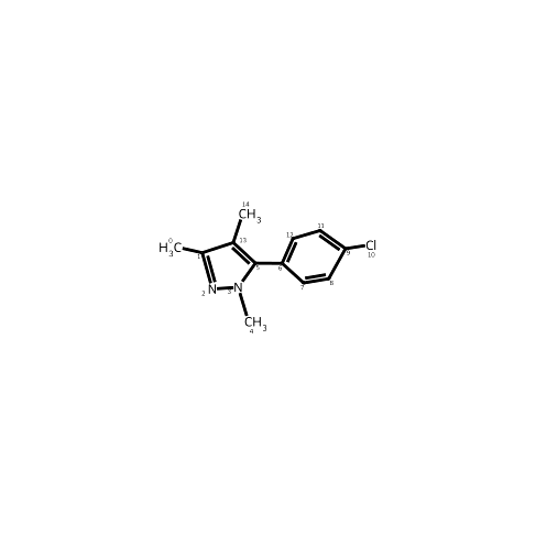 Cc1nn(C)c(-c2ccc(Cl)cc2)c1C